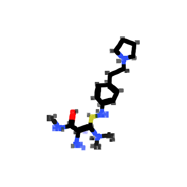 CCNC(=O)/C(N)=C(\SNc1ccc(CCN2CCCC2)cc1)N(CC)C(C)=O